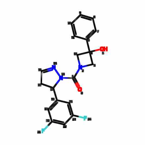 O=C(N1CC(O)(c2ccccc2)C1)N1N=CCC1c1cc(F)cc(F)c1